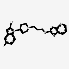 CCc1cc2cc(F)ccc2n1C1=CCN(CCCSc2nc3cccnc3s2)CC1